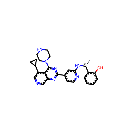 C[C@@H](Nc1cc(-c2nc(N3CCNCC3)c3c(C4CC4)cncc3n2)ccn1)c1ccccc1O